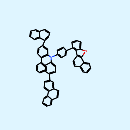 c1ccc(-c2ccc(-c3cccc4ccccc34)cc2N(c2ccc(-c3ccc4c(ccc5ccccc54)c3)cc2)c2ccc(-c3cccc4oc5c6ccccc6ccc5c34)cc2)cc1